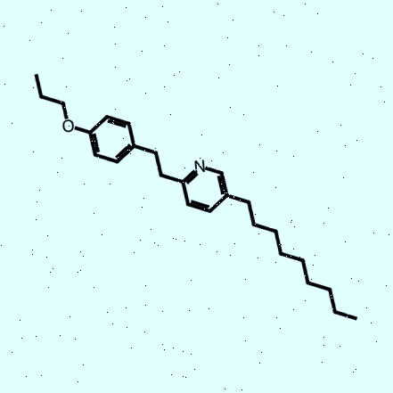 CCCCCCCCCc1ccc(CCc2ccc(OCCC)cc2)nc1